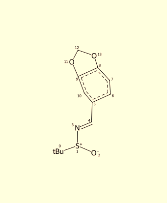 CC(C)(C)[S+]([O-])N=Cc1ccc2c(c1)OCO2